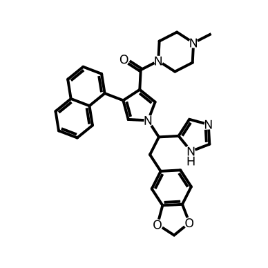 CN1CCN(C(=O)c2cn(C(Cc3ccc4c(c3)OCO4)c3cnc[nH]3)cc2-c2cccc3ccccc23)CC1